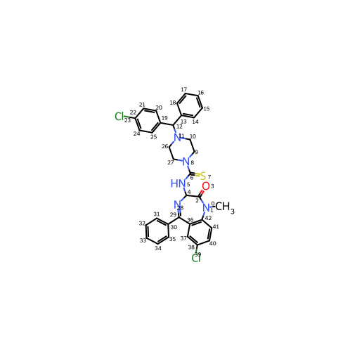 CN1C(=O)C(NC(=S)N2CCN(C(c3ccccc3)c3ccc(Cl)cc3)CC2)N=C(c2ccccc2)c2cc(Cl)ccc21